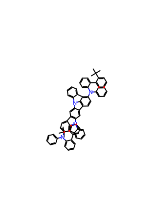 CC(C)(C)c1ccccc1-c1ccccc1N(c1ccccc1)c1ccc2c3cc4c(cc3n3c5ccccc5c1c23)c1ccc(N(c2ccccc2)c2ccccc2-c2ccccc2C(C)(C)C)c2c3ccccc3n4c12